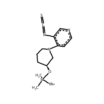 CC(C)(C)[Si](C)(C)O[C@H]1CCCN(c2ccncc2N=C=S)C1